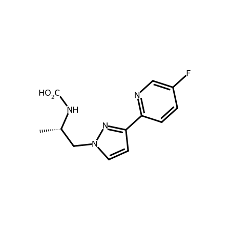 C[C@@H](Cn1ccc(-c2ccc(F)cn2)n1)NC(=O)O